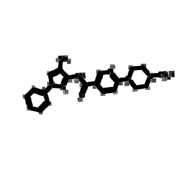 Nc1cn(-c2ccccc2)nc1NC(=O)c1ccc(N2CCN(C(=O)O)CC2)nc1